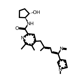 C=N/C(=C\C=C(/C)Cc1cc(C(=O)N[C@H]2CCC[C@@H]2O)nc(C)c1C)c1ccn(C)c1